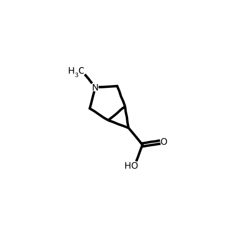 CN1CC2C(C1)C2C(=O)O